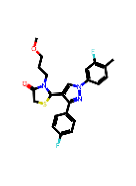 COCCCN1C(=O)CSC1c1cn(-c2ccc(C)c(F)c2)nc1-c1ccc(F)cc1